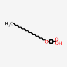 CCCCCCCCCCCCCCCCCCCCOc1ccc(C(=O)O)cc1